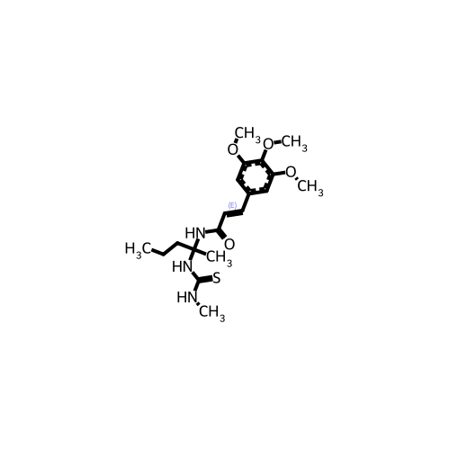 CCCC(C)(NC(=O)/C=C/c1cc(OC)c(OC)c(OC)c1)NC(=S)NC